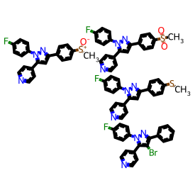 CS(=O)(=O)c1ccc(-c2cc(-c3ccncc3)n(-c3ccc(F)cc3)n2)cc1.CSc1ccc(-c2cc(-c3ccncc3)n(-c3ccc(F)cc3)n2)cc1.C[S+]([O-])c1ccc(-c2cc(-c3ccncc3)n(-c3ccc(F)cc3)n2)cc1.Fc1ccc(-n2nc(-c3ccccc3)c(Br)c2-c2ccncc2)cc1